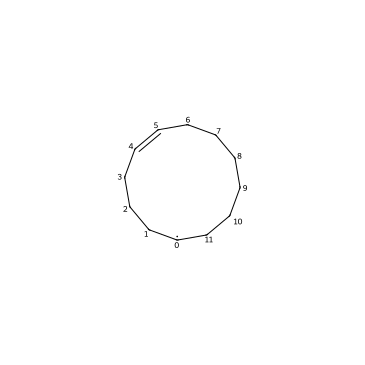 [CH]1CCCC=CCCCCCC1